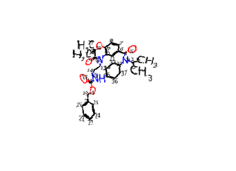 CC(C)N(C(=O)c1ccc2c(c1)N(CCNC(=O)OCc1ccccc1)C(=O)C(C)(C)O2)C1CCCCC1